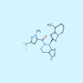 Cc1cccn2nc([C@H]3c4nc[nH]c4CCN3C(=O)c3cc(C(F)F)nn3C)cc12